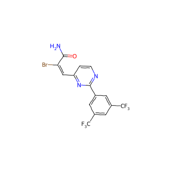 NC(=O)/C(Br)=C\c1ccnc(-c2cc(C(F)(F)F)cc(C(F)(F)F)c2)n1